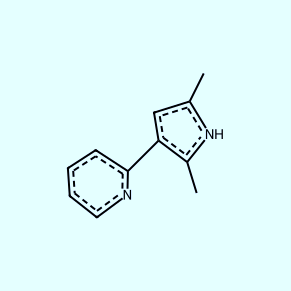 Cc1cc(-c2ccccn2)c(C)[nH]1